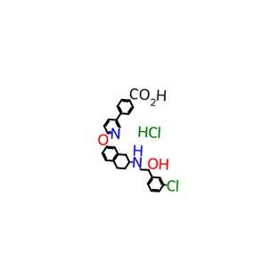 Cl.O=C(O)c1ccc(-c2ccc(Oc3ccc4c(c3)C[C@@H](NC[C@H](O)c3cccc(Cl)c3)CC4)nc2)cc1